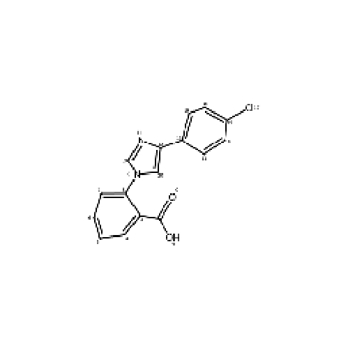 O=C(O)c1ccccc1-n1cnc(-c2ccc(Cl)cc2)c1